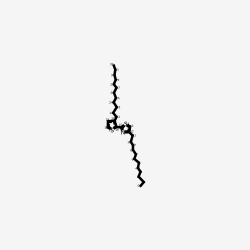 CCCCCCCCCCCCc1csc(-c2sccc2CCCCCCCCCCCC)n1